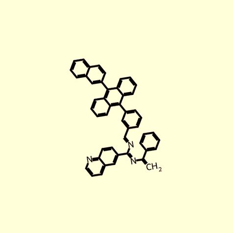 C=C(/N=C(\N=C\c1cccc(-c2c3ccccc3c(-c3ccc4ccccc4c3)c3ccccc23)c1)c1ccc2ncccc2c1)c1ccccc1